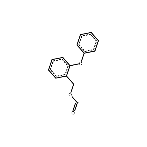 O=[C]OCc1ccccc1Oc1ccccc1